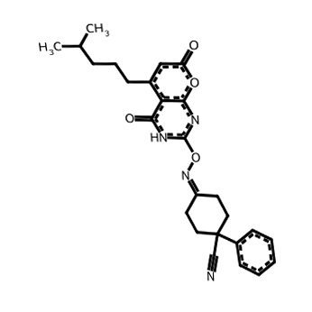 CC(C)CCCc1cc(=O)oc2nc(ON=C3CCC(C#N)(c4ccccc4)CC3)[nH]c(=O)c12